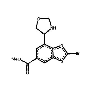 COC(=O)c1cc(C2COCN2)c2nc(Br)sc2c1